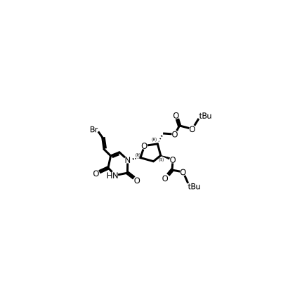 CC(C)(C)OC(=O)OC[C@H]1O[C@@H](n2cc(C=CBr)c(=O)[nH]c2=O)C[C@@H]1OC(=O)OC(C)(C)C